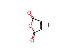 O=C1C=CC(=O)O1.[Ti]